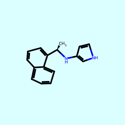 C[C@@H](Nc1cc[nH]c1)c1cccc2ccccc12